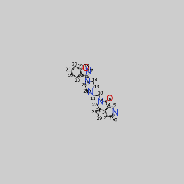 Cc1cc2c(cn1)C(=O)N(CCN1CCN(c3noc4ccccc34)CC1)CC21CC1